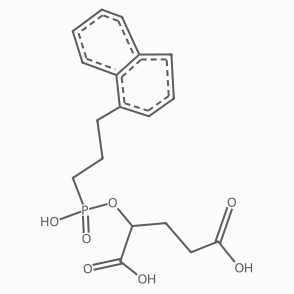 O=C(O)CCC(OP(=O)(O)CCCc1cccc2ccccc12)C(=O)O